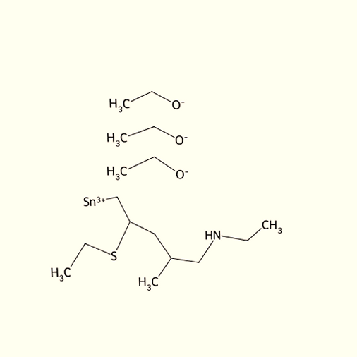 CCNCC(C)CC([CH2][Sn+3])SCC.CC[O-].CC[O-].CC[O-]